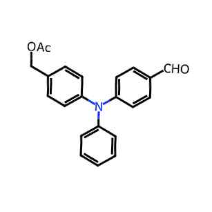 CC(=O)OCc1ccc(N(c2ccccc2)c2ccc(C=O)cc2)cc1